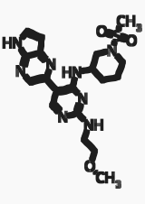 COCCNc1ncc(-c2cnc3[nH]ccc3n2)c(NC2CCCN(S(C)(=O)=O)C2)n1